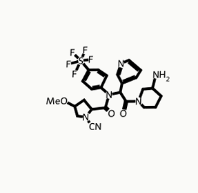 COC1CC(C(=O)N(c2ccc(S(F)(F)(F)(F)F)cc2)C(C(=O)N2CCCC(N)C2)c2cccnc2)N(C#N)C1